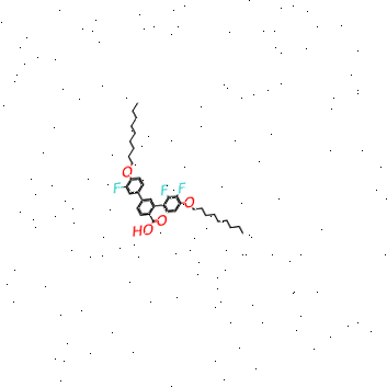 CCCCCCCCCOc1ccc(-c2ccc(C(=O)O)c(-c3ccc(OCCCCCCCCC)c(F)c3F)c2)cc1F